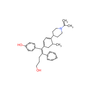 C=C(C)N1CCC(C2=CC=C(/C(=C(/CCCO)c3ccccc3)c3ccc(O)cc3)CC2C)CC1